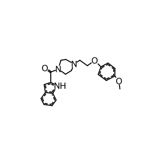 COc1ccc(OCCN2CCN(C(=O)c3cc4ccccc4[nH]3)CC2)cc1